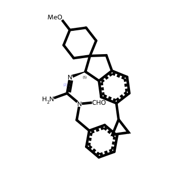 COC1CCC2(CC1)Cc1ccc(C3CC3)cc1[C@H]2/N=C(/N)N(C=O)Cc1ccccc1